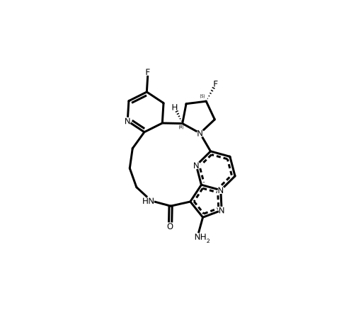 Nc1nn2ccc3nc2c1C(=O)NCCCC1=NC=C(F)CC1[C@H]1C[C@H](F)CN31